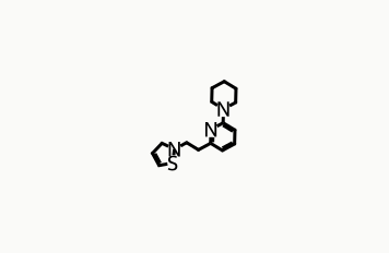 C1=CSN(CCc2cccc(N3CCCCC3)n2)C1